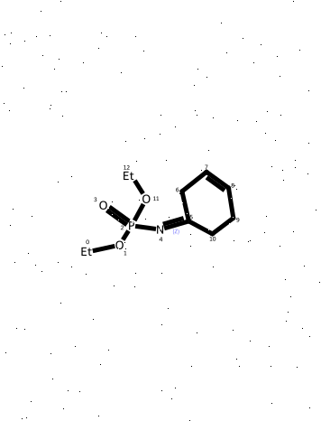 CCOP(=O)(/N=C1\CC=CCC1)OCC